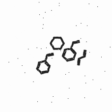 C1CCCCC1.C=CC=C.C=Cc1ccccc1.C=Cc1ccccc1